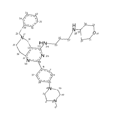 CN1CCN(c2ccc(-c3nc4c(c(NCCCNC5CCOCC5)n3)CN(Cc3ccccc3)CC4)cc2)CC1